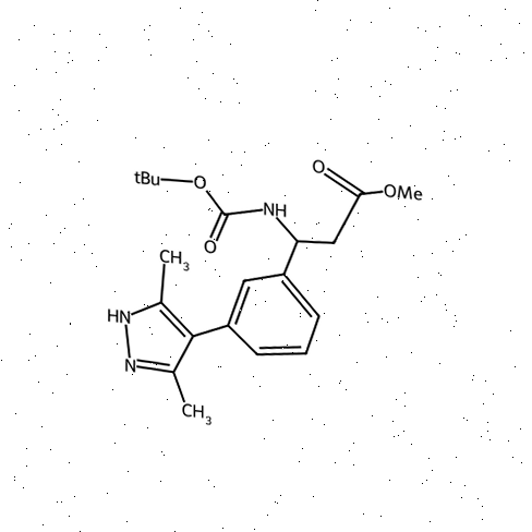 COC(=O)CC(NC(=O)OC(C)(C)C)c1cccc(-c2c(C)n[nH]c2C)c1